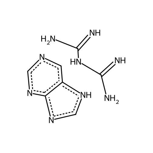 N=C(N)NC(=N)N.c1ncc2[nH]cnc2n1